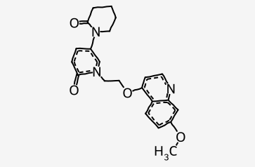 COc1ccc2c(OCCn3cc(N4CCCCC4=O)ccc3=O)ccnc2c1